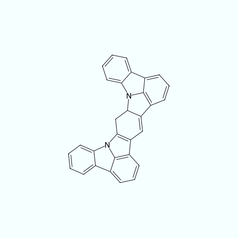 C1=C2c3cccc4c5ccccc5n(c34)C2Cc2c1c1cccc3c4ccccc4n2c13